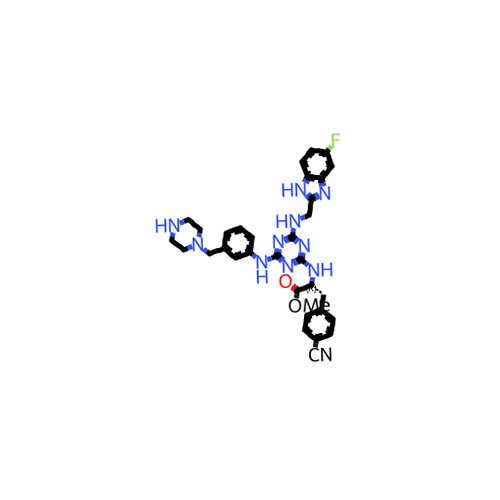 COC(=O)[C@@H](Cc1ccc(C#N)cc1)Nc1nc(NCc2nc3cc(F)ccc3[nH]2)nc(Nc2cccc(CN3CCNCC3)c2)n1